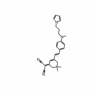 CN(CCCn1cccc1)c1ccc(/C=C/C2=CC(=C(C#N)C#N)CC(C)(C)C2)cc1